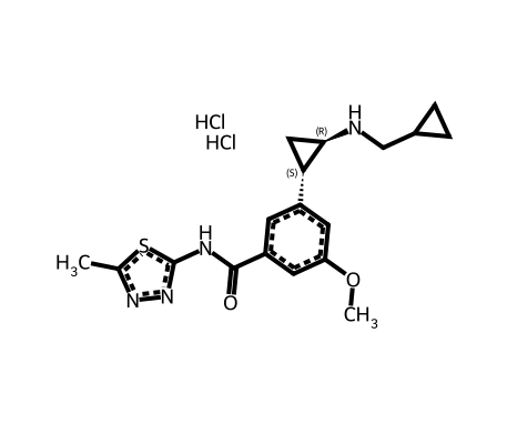 COc1cc(C(=O)Nc2nnc(C)s2)cc([C@@H]2C[C@H]2NCC2CC2)c1.Cl.Cl